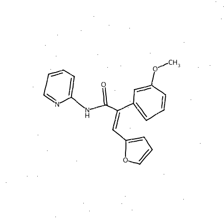 COc1cccc(/C(=C\c2ccco2)C(=O)Nc2ccccn2)c1